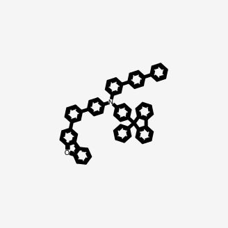 c1ccc(-c2ccc(-c3cccc(N(c4ccc(-c5cccc(-c6ccc7oc8ccccc8c7c6)c5)cc4)c4ccc(C5(c6ccccc6)c6ccccc6-c6ccccc65)cc4)c3)cc2)cc1